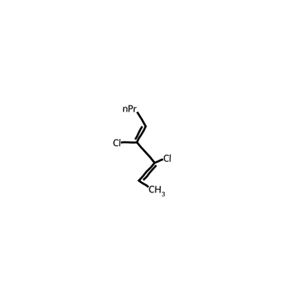 CC=C(Cl)C(Cl)=CCCC